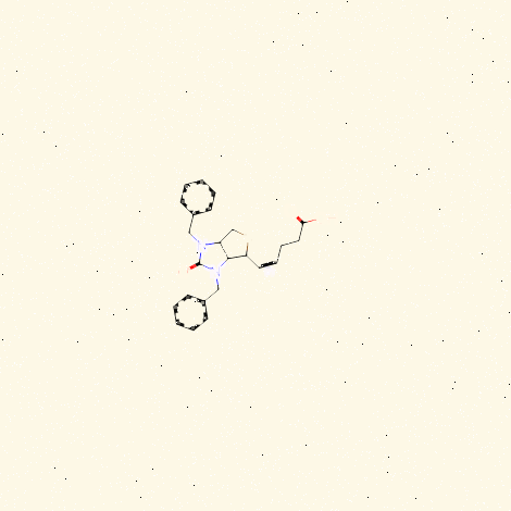 O=C(O)CC/C=C\C1SCC2C1N(Cc1ccccc1)C(=O)N2Cc1ccccc1